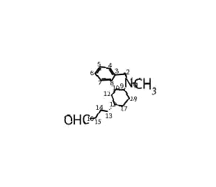 CN(Cc1ccccc1)[C@H]1CC[C@@H](CCCC=O)CC1